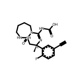 C#Cc1ccc(F)c([C@]2(C)C[SH]3(=O)NCCCCN3C(NC(=O)O)=N2)c1